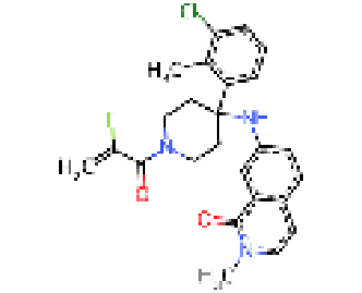 C=C(F)C(=O)N1CCC(Nc2ccc3ccn(C)c(=O)c3c2)(c2cccc(Cl)c2C)CC1